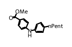 CCCCCc1ccc(Nc2ccc(C(=O)OC)cc2)cc1